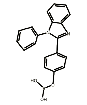 OB(O)Oc1ccc(-c2nc3ccccc3n2-c2ccccc2)cc1